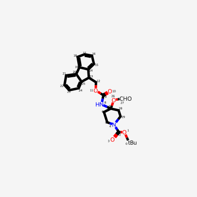 CC(C)(C)OC(=O)N1CCC(NC(=O)OCC2c3ccccc3-c3ccccc32)(OC=O)CC1